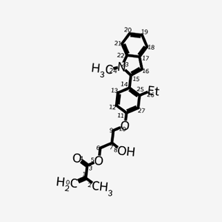 C=C(C)C(=O)OCC(O)COc1ccc(-c2cc3ccccc3n2C)c(CC)c1